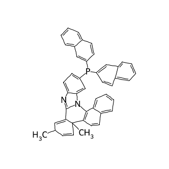 CC1C=CC2(C)C(=C1)c1nc3ccc(P(c4ccc5ccccc5c4)c4ccc5ccccc5c4)cc3n1-c1c2ccc2ccccc12